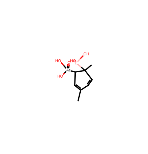 CC1=CC([As](=O)(O)O)C(C)(B(O)O)C=C1